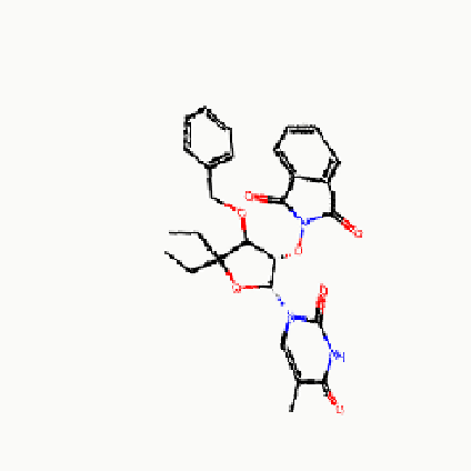 CCC1(CC)O[C@@H](n2cc(C)c(=O)[nH]c2=O)[C@@H](ON2C(=O)c3ccccc3C2=O)C1OCc1ccccc1